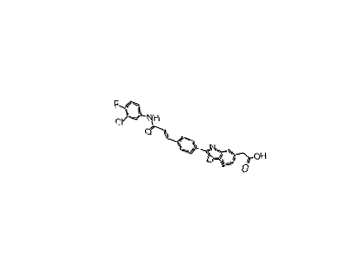 O=C(O)Cc1ccc2oc(-c3ccc(C=CC(=O)Nc4ccc(F)c(Cl)c4)cc3)nc2c1